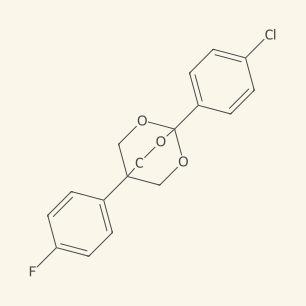 Fc1ccc(C23COC(c4ccc(Cl)cc4)(OC2)OC3)cc1